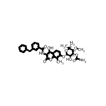 CO[C@@H]1[C@@H](OC(N)=O)[C@@H](O)[C@H](Oc2ccc3c(O)c(NC(=O)c4cccc(Cc5ccccc5)c4)c(=O)oc3c2C)OC1(C)C